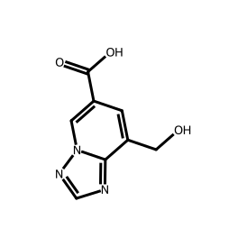 O=C(O)c1cc(CO)c2ncnn2c1